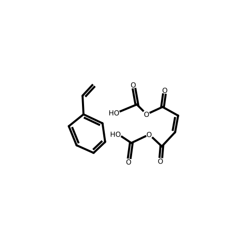 C=Cc1ccccc1.O=C(O)OC(=O)/C=C\C(=O)OC(=O)O